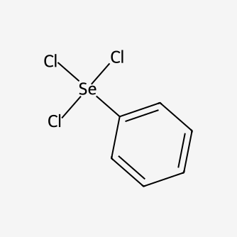 Cl[Se](Cl)(Cl)c1ccccc1